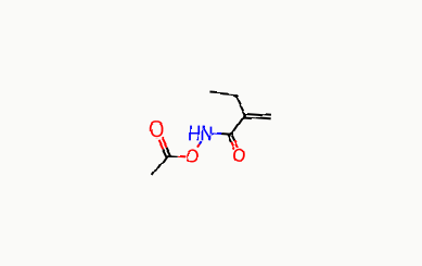 C=C(CC)C(=O)NOC(C)=O